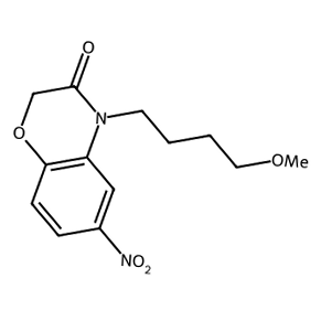 COCCCCN1C(=O)COc2ccc([N+](=O)[O-])cc21